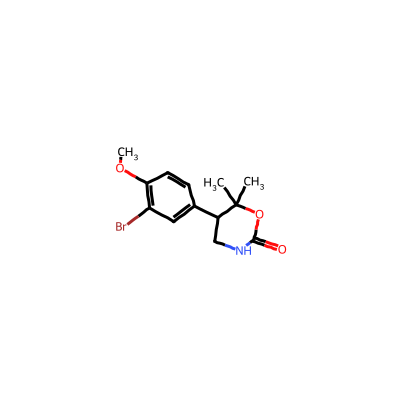 COc1ccc(C2CNC(=O)OC2(C)C)cc1Br